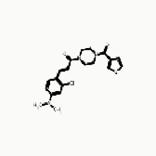 CN(C)c1ccc(C=CC(=O)N2CCN(C(=O)c3ccoc3)CC2)c(Cl)c1